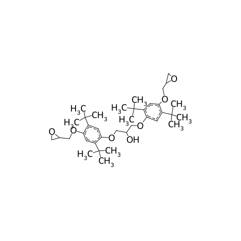 CC(C)(C)c1cc(OCC2CO2)c(C(C)(C)C)cc1OCC(O)COc1cc(C(C)(C)C)c(OCC2CO2)cc1C(C)(C)C